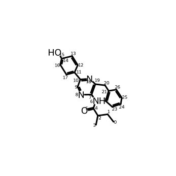 CCC(C)C(=O)Nc1ncc(-c2ccc(O)cc2)nc1Cc1ccccc1